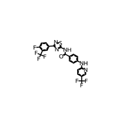 O=C(Nc1nc(-c2ccc(F)c(C(F)(F)F)c2)ns1)c1ccc(Nc2ccc(C(F)(F)F)cn2)cc1